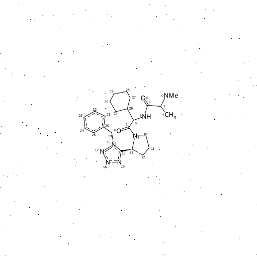 CNC(C)C(=O)NC(C(=O)N1CCC[C@H]1c1nnnn1Cc1ccccc1)C1CCCCC1